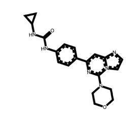 O=C(Nc1ccc(-c2cc3nccn3c(N3CCOCC3)n2)cc1)NC1CC1